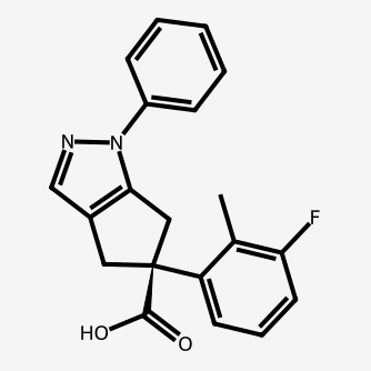 Cc1c(F)cccc1[C@]1(C(=O)O)Cc2cnn(-c3ccccc3)c2C1